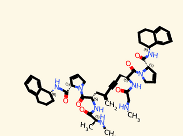 C=C(C#CC[C@H](NC(=O)CNC)C(=O)N1CC=C[C@H]1C(=O)N[C@@H]1CCCc2ccccc21)C[C@H](NC(=O)[C@H](C)NC)C(=O)N1CC=C[C@H]1C(=O)N[C@@H]1CCCc2ccccc21